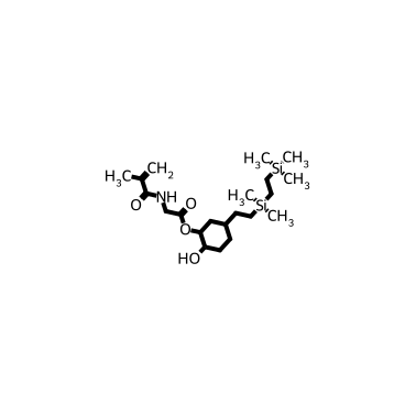 C=C(C)C(=O)NCC(=O)OC1CC(CC[Si](C)(C)CC[Si](C)(C)C)CCC1O